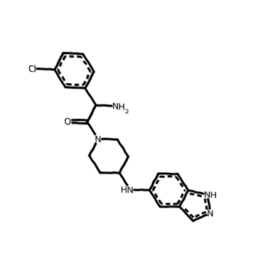 NC(C(=O)N1CCC(Nc2ccc3[nH]ncc3c2)CC1)c1cccc(Cl)c1